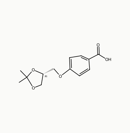 CC1(C)OC[C@@H](COc2ccc(C(=O)O)cc2)O1